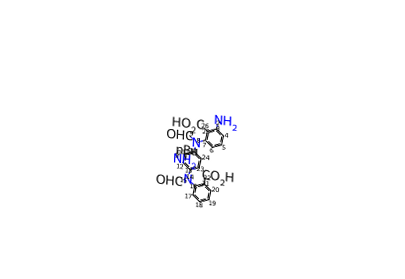 CCCCN.Nc1cccc(N(C=O)c2ccc(N(C=O)c3ccccc3C(=O)O)cc2)c1C(=O)O